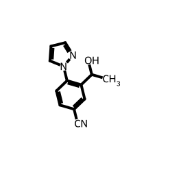 CC(O)c1cc(C#N)ccc1-n1cccn1